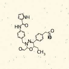 CCC1OC(C=O)N(Cc2ccc(NC(=O)c3ccc[nH]3)cc2)N=C1c1ccc(C[SH](=O)=O)cc1